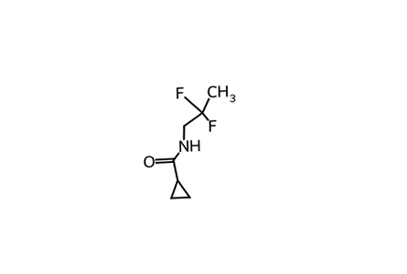 CC(F)(F)CNC(=O)C1CC1